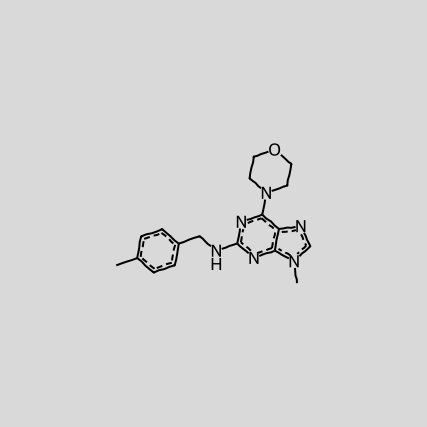 Cc1ccc(CNc2nc(N3CCOCC3)c3ncn(C)c3n2)cc1